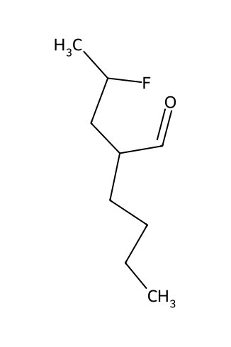 CCCCC(C=O)CC(C)F